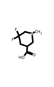 CN1CC(C(=O)O)CC(F)(F)C1